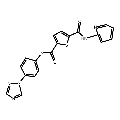 O=C(Nc1ccc(-n2cncn2)cc1)c1ccc(C(=O)Nc2ccccn2)s1